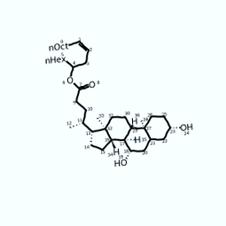 CCCCCCCC/C=C\CC(CCCCCC)OC(=O)CC[C@@H](C)[C@H]1CC[C@H]2[C@@H]3[C@@H](O)CC4C[C@@H](O)CC[C@]4(C)[C@H]3CC[C@]12C